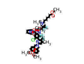 CCOC(=O)CCCCCCN(C)C[C@@]1(COc2nc(N3CC4CCC(C3)N4C(=O)OC(C)(C)C)c3cc(Cl)c(-c4nc(N(Cc5ccc(OC)cc5)Cc5ccc(OC)cc5)cc(C)c4C(F)(F)F)c(F)c3n2)CC1(F)F